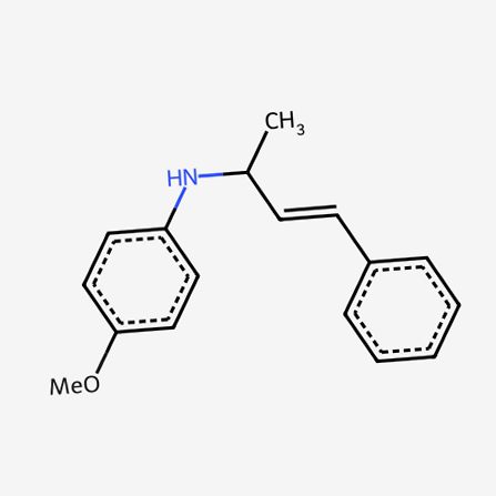 COc1ccc(NC(C)C=Cc2ccccc2)cc1